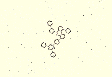 c1ccc(-c2cccc(-c3nc4c(-c5ccc(-c6nc(-c7ccccc7)nc(-c7ccccc7)n6)cc5)cccc4c4c(-c5ccccc5)cccc34)c2)cc1